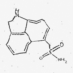 NS(=O)(=O)c1ccc2c3c(cccc13)CN2